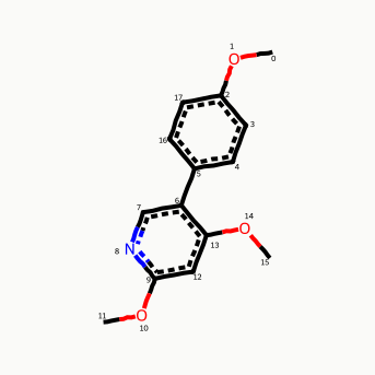 COc1ccc(-c2cnc(OC)cc2OC)cc1